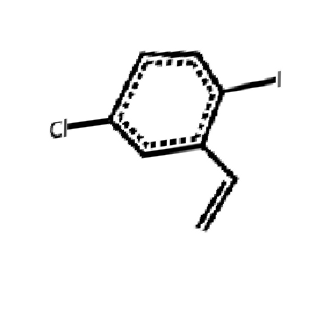 C=Cc1cc(Cl)ccc1I